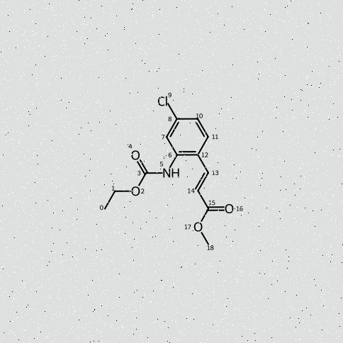 CCOC(=O)Nc1cc(Cl)ccc1C=CC(=O)OC